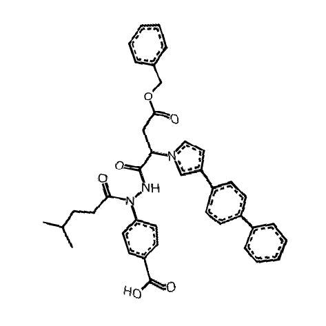 CC(C)CCC(=O)N(NC(=O)C(CC(=O)OCc1ccccc1)n1ccc(-c2ccc(-c3ccccc3)cc2)c1)c1ccc(C(=O)O)cc1